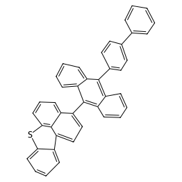 c1ccc(-c2ccc(-c3c4ccccc4c(-c4ccc5c6c(cccc46)Sc4ccccc4-5)c4ccccc34)cc2)cc1